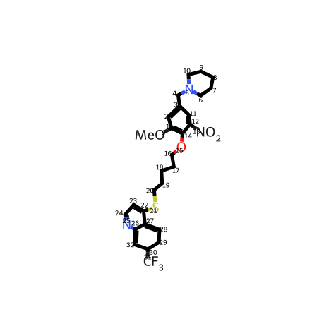 COc1cc(CN2CCCCC2)cc([N+](=O)[O-])c1OCCCCCSc1ccnc2c1=CCC(C(F)(F)F)C=2